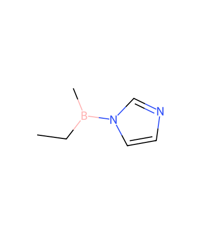 CCB(C)n1ccnc1